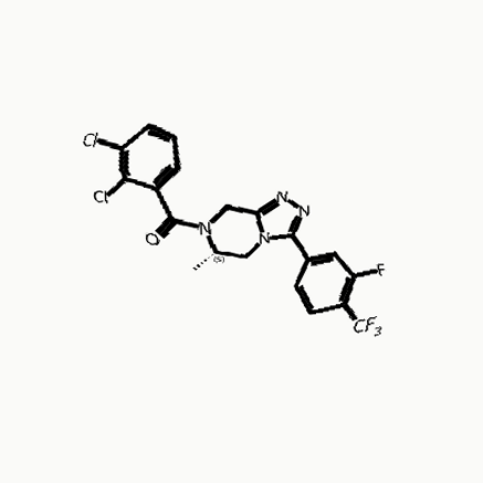 C[C@H]1Cn2c(nnc2-c2ccc(C(F)(F)F)c(F)c2)CN1C(=O)c1cccc(Cl)c1Cl